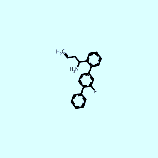 C=CCC(N)c1ccccc1-c1ccc(-c2ccccc2)c(F)c1